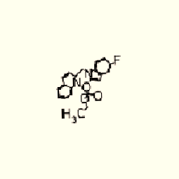 CCOC(=O)Oc1cc2cc(F)ccc2n1Cc1ccc2ccccc2n1